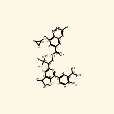 Cc1cc2cc(C(=O)NCC(c3cc4c(c(-c5ccc(F)c(C(C)F)c5)n3)OCC4C)C(F)(F)F)cc(OC3CC3)c2nn1